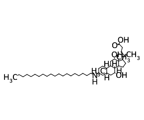 CCCCCCCCCCCCCCCCCCCCN[C@H]1CC[C@@]2(C)[C@@H](C1)C[C@@H](O)[C@@H]1[C@@H]2C[C@H](O)[C@]2(C)[C@@H](C(C)CCC(=O)O)CC[C@@H]12